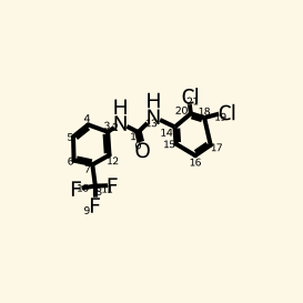 O=C(Nc1cccc(C(F)(F)F)c1)Nc1cccc(Cl)c1Cl